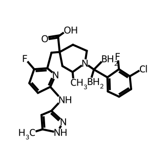 BC(B)(c1cccc(Cl)c1F)N1CCC(Cc2nc(Nc3cc(C)[nH]n3)ccc2F)(C(=O)O)CC1C